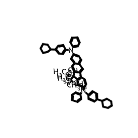 C[Si](C)(C)C1([Si](C)(C)C)c2cc(N(c3ccccc3)c3ccc(C4CCCCC4)cc3)ccc2-c2cc3ccc(N(c4ccccc4)c4ccc(C5CCCCC5)cc4)cc3cc21